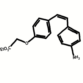 CCOC(=O)COc1ccc(/C=C\c2ccc(N)cc2)cc1